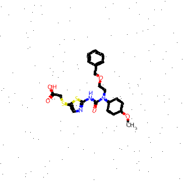 COC1CCC(N(CCOCc2ccccc2)C(=O)Nc2ncc(SCC(=O)O)s2)CC1